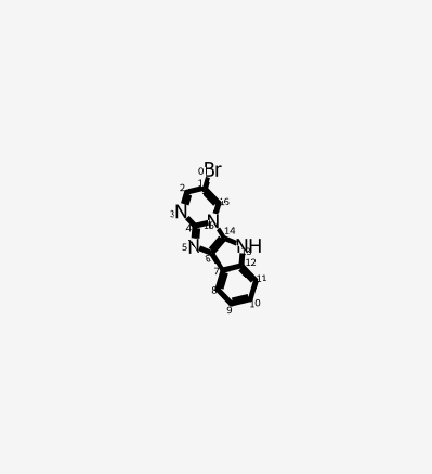 Brc1cnc2nc3c4ccccc4[nH]c3n2c1